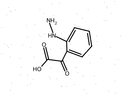 NNc1ccccc1C(=O)C(=O)O